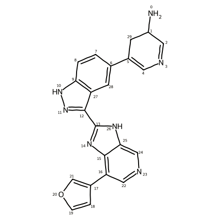 NC1C=NC=C(c2ccc3[nH]nc(-c4nc5c(-c6ccoc6)cncc5[nH]4)c3c2)C1